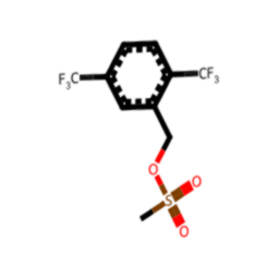 CS(=O)(=O)OCc1cc(C(F)(F)F)ccc1C(F)(F)F